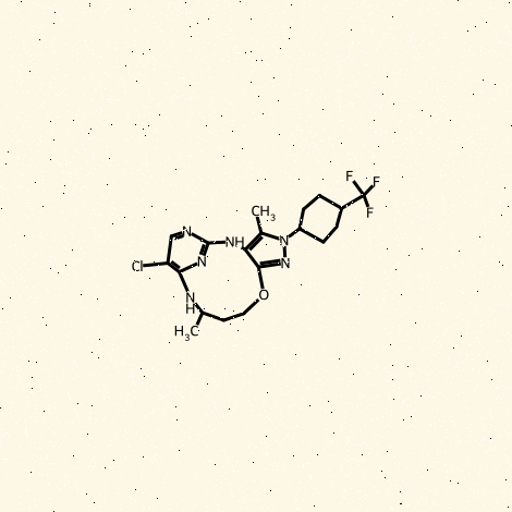 Cc1c2c(nn1C1CCC(C(F)(F)F)CC1)OCCC(C)Nc1nc(ncc1Cl)N2